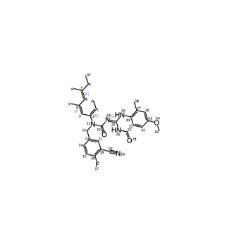 C\C=C(/C=C(C)\C=C(/C)CC)N(Cc1ccc(F)c(C#N)c1)C(=O)/N=C(\NC=O)Nc1ccc(OC)cc1C